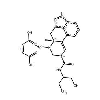 CCC(CO)NC(=O)[C@@H]1C=C2c3cccc4[nH]cc(c34)C[C@H]2N(C)C1.O=C(O)/C=C\C(=O)O